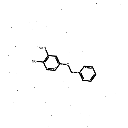 CNc1cc(OCc2ccccc2)ccc1C#N